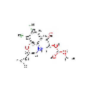 CCOC(=O)Oc1cn2c3c(c(F)c(F)cc3c1=O)OC(C1CC1)=C2